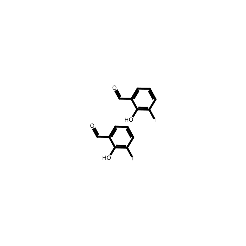 O=Cc1cccc(I)c1O.O=Cc1cccc(I)c1O